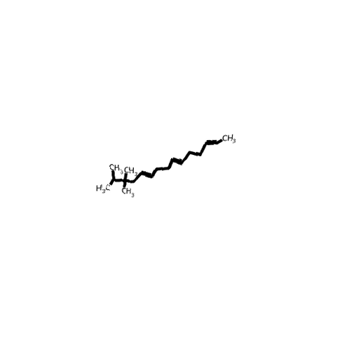 CC=CCCC=CCCC=CCC(C)(C)[C](C)C